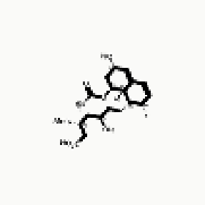 CC[C@H](C)C(=O)O[C@H]1C[C@H](O)C=C2C=C[C@H](C)[C@H](CC[C@@H](O)C[C@H](CC(=O)O)OC)[C@H]21